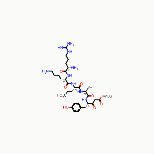 CCCCOC(=O)CC(=O)[C@H](Cc1ccc(O)cc1)NC(=O)[C@@H](NC(=O)[C@H](CCC(=O)O)NC(=O)[C@H](CCCCN)NC(=O)[C@@H](N)CCCNC(=N)N)C(C)C